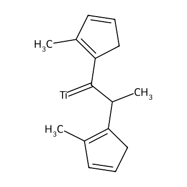 CC1=C([C](=[Ti])C(C)C2=C(C)C=CC2)CC=C1